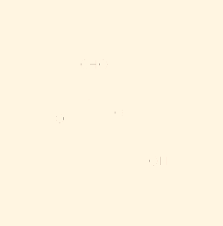 O=CC(=O)OCO